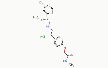 CNC(=O)COc1ccc(CCNCC(OC)c2cccc(Cl)c2)cc1.Cl